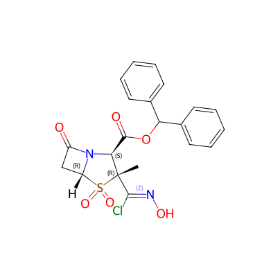 C[C@]1(/C(Cl)=N/O)[C@H](C(=O)OC(c2ccccc2)c2ccccc2)N2C(=O)C[C@H]2S1(=O)=O